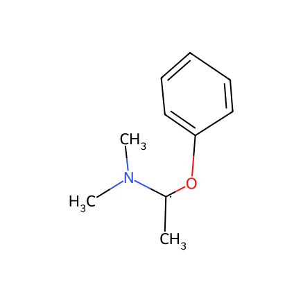 C[C](Oc1ccccc1)N(C)C